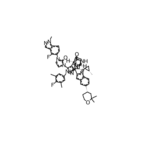 Cc1cc(-n2nc3c(c2-n2ccn(-c4ccc5c(cnn5C)c4F)c2=O)[C@H]2CC[C@@H]([C@@H]3F)N2C(=O)c2cc3cc([C@H]4CCOC(C)(C)C4)ccc3n2[C@@]2(c3noc(=O)[nH]3)C[C@@H]2C)cc(C)c1F